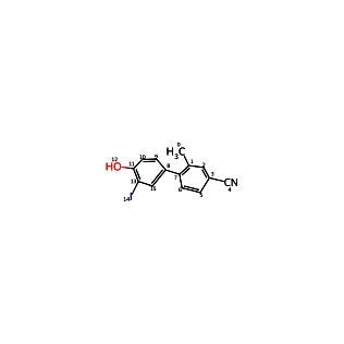 Cc1cc(C#N)ccc1-c1ccc(O)c(I)c1